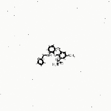 Cc1cc(O)c(Oc2ccccc2NCc2ccco2)c(S(N)(=O)=O)c1